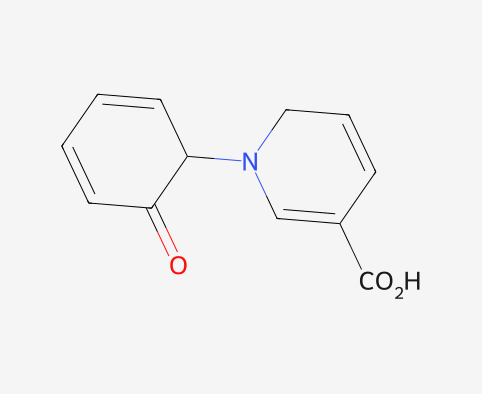 O=C(O)C1=CN(C2C=CC=CC2=O)CC=C1